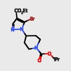 CCOC(=O)c1cnn(C2CCN(C(=O)OC(C)C)CC2)c1Br